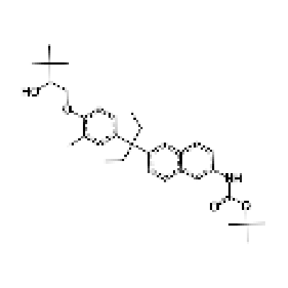 CCC(CC)(c1ccc(OCC(O)C(C)(C)C)c(C)c1)c1ccc2cc(NC(=O)OC(C)(C)C)ccc2c1